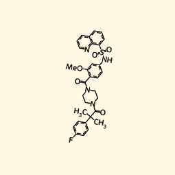 COc1cc(NS(=O)(=O)c2cccc3cccnc23)ccc1C(=O)N1CCN(C(=O)C(C)(C)c2ccc(F)cc2)CC1